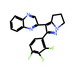 Fc1ccc(-c2nn3c(c2-c2cnc4ccccc4n2)CCC3)c(F)c1F